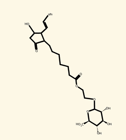 CCC/C=C/C1C(O)CC(=O)C1CCCCCCC(=O)OCCOC1O[C@H](C(=O)O)[C@@H](O)[C@H](O)[C@H]1O